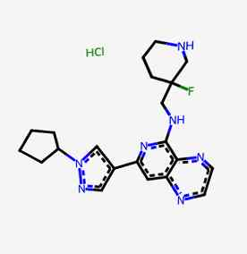 Cl.FC1(CNc2nc(-c3cnn(C4CCCC4)c3)cc3nccnc23)CCCNC1